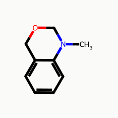 CN1COCc2ccccc21